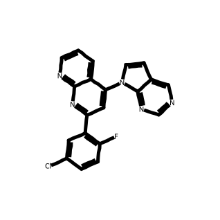 Fc1ccc(Cl)cc1-c1cc(-n2ccc3cncnc32)c2cccnc2n1